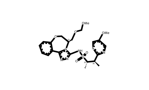 COCOC[C@@H]1COc2ccccc2-c2nnc(NS(=O)(=O)[C@@H](C)[C@H](C)c3ncc(OC)cn3)n21